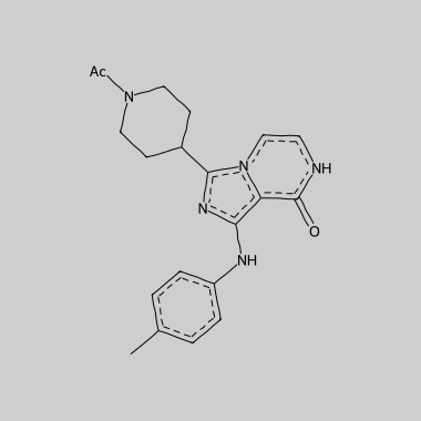 CC(=O)N1CCC(c2nc(Nc3ccc(C)cc3)c3c(=O)[nH]ccn23)CC1